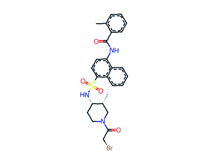 Cc1ccccc1C(=O)Nc1ccc(S(=O)(=O)N[C@H]2CCN(C(=O)CBr)C[C@H]2C)c2ccccc12